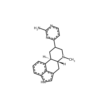 CN1CC(c2ccnc(N)n2)C[C@@H]2c3cccc4[nH]cc(c34)C[C@H]21